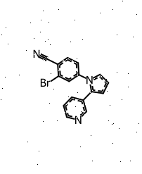 N#Cc1ccc(-n2cccc2-c2cccnc2)cc1Br